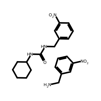 NCc1cccc([N+](=O)[O-])c1.O=C(NCc1cccc([N+](=O)[O-])c1)NC1CCCCC1